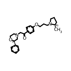 C[C@@H]1CCCN1CCCOc1ccc(C(=O)CN2CCO[C@H](c3ccccc3)C2)cc1